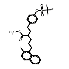 COC(=O)C(CCCc1c(I)ccc2ccccc12)CCc1ccc(OS(=O)(=O)C(F)(F)F)cc1